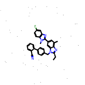 CCc1nc2c(C)cc(-c3nc4cc(F)ccc4n3C)cc2n1Cc1ccc(-c2ccccc2C#N)cc1